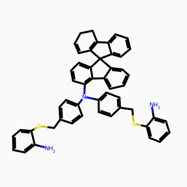 Nc1ccccc1SCc1ccc(N(c2ccc(CSc3ccccc3N)cc2)c2cccc3c2-c2ccccc2C32C3=C(CCC=C3)c3ccccc32)cc1